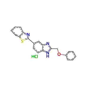 Cl.c1ccc(OCc2nc3cc(-c4nc5ccccc5s4)ccc3[nH]2)cc1